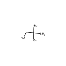 CCC(C)C(N)(CO)C(C)CC